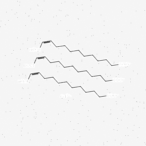 CCCCCCCC/C=C\CCCCCCCCCC(=O)[O-].CCCCCCCC/C=C\CCCCCCCCCC(=O)[O-].CCCCCCCC/C=C\CCCCCCCCCC(=O)[O-].[Gd+3]